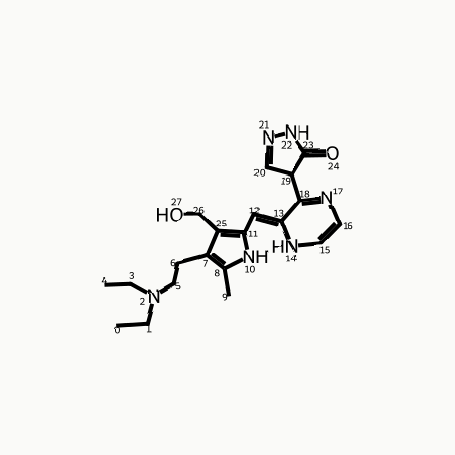 CCN(CC)CCc1c(C)[nH]c(C=C2NC=CN=C2C2C=NNC2=O)c1CO